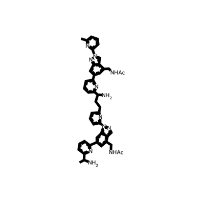 CC(=O)NCc1cc(-c2cccc(C(N)CCc3cccc(-n4ncc5c(CNC(C)=O)cc(-c6cccc(C(C)N)n6)cc54)n3)n2)cc2nn(-c3cccc(C)n3)cc12